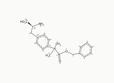 CC(C)(C(=O)OCc1ccccc1)c1ccc(C[C@H](N)C(=O)O)cc1